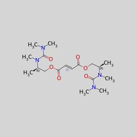 C[C@H](COC(=O)/C=C/C(=O)OC[C@@H](C)N(C)C(=O)N(C)C)N(C)C(=O)N(C)C